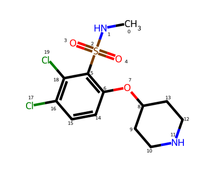 CNS(=O)(=O)c1c(OC2CCNCC2)ccc(Cl)c1Cl